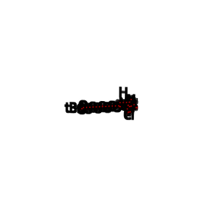 Cc1sc2c(c1C)C(c1ccc(Cl)cc1)=N[C@@H](CC(=O)Nc1ccc(OCCOCCOCCOCCOCCOCCOCCC(=O)OC(C)(C)C)cc1)c1nnc(C)n1-2